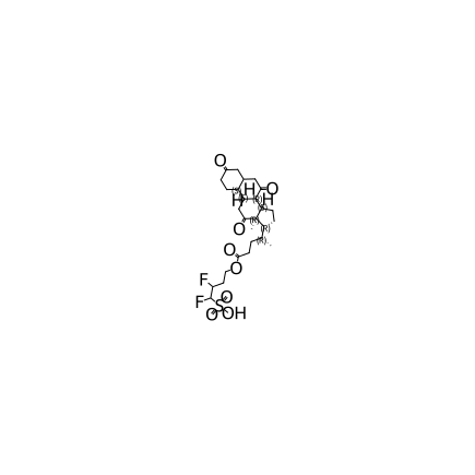 C[C@H](CCC(=O)OCCC(F)C(F)S(=O)(=O)O)[C@H]1CC[C@H]2[C@@H]3C(=O)CC4CC(=O)CC[C@]4(C)[C@H]3CC(=O)[C@]12C